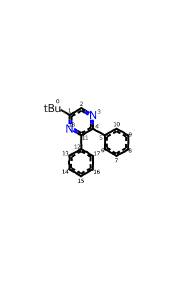 CC(C)(C)c1cnc(-c2ccccc2)c(-c2ccccc2)n1